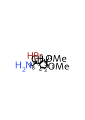 Br.COc1ccc([C@@H](C)CN)cc1OC